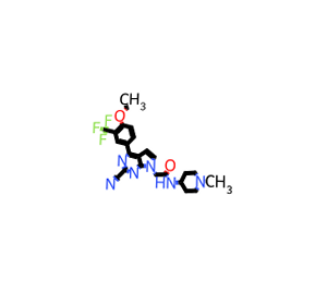 CCOc1ccc(-c2nc(C#N)nc3c2ccn3CC(=O)NC2CCN(C)CC2)cc1C(F)(F)F